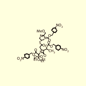 CCOP(OCC)(OCC)=C(C(=O)OCc1ccc([N+](=O)[O-])cc1)N1C(=O)C(C(C)OC(=O)OCc2ccc([N+](=O)[O-])cc2)C1CC(=O)SC1CN=C(COC)N(C(=O)OCc2ccc([N+](=O)[O-])cc2)C1